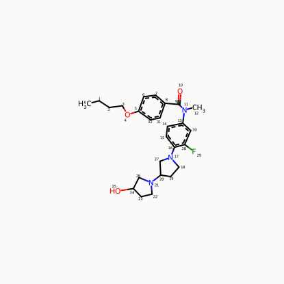 CCCCOc1ccc(C(=O)N(C)c2ccc(N3CCC(N4CCC(O)C4)C3)c(F)c2)cc1